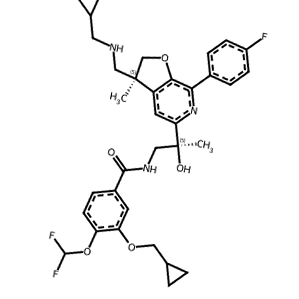 C[C@]1(CNCC2CC2)COc2c1cc([C@@](C)(O)CNC(=O)c1ccc(OC(F)F)c(OCC3CC3)c1)nc2-c1ccc(F)cc1